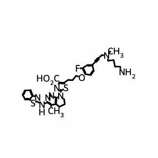 Cc1c(Nc2nc3ccccc3s2)nnc2c1CCCN2c1nc(C(=O)O)c(CCCOc2ccc(C#CCN(C)CCCCN)cc2F)s1